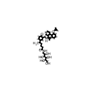 CC(CCCC(=O)NC[C@H](O)[C@@H](O)[C@H](O)[C@H](O)CO)c1ccc(Cl)c(CNC2(c3cnccc3-c3ccccc3OC3CC3)CC2)c1